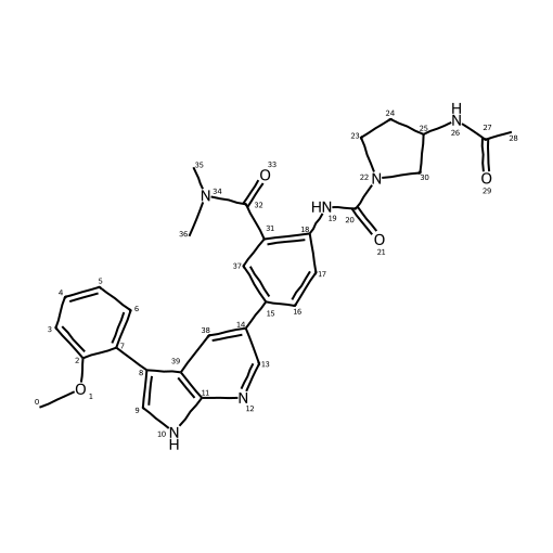 COc1ccccc1-c1c[nH]c2ncc(-c3ccc(NC(=O)N4CCC(NC(C)=O)C4)c(C(=O)N(C)C)c3)cc12